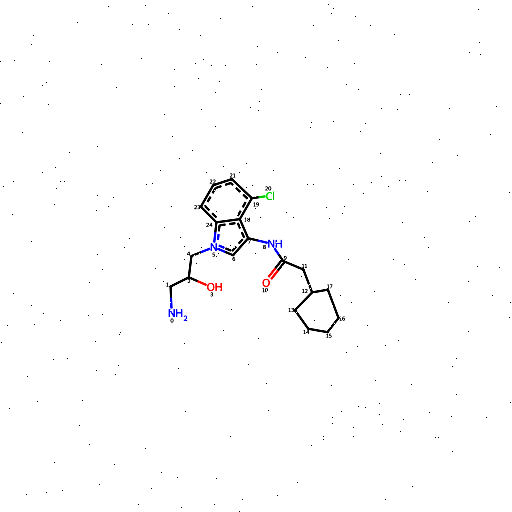 NCC(O)Cn1cc(NC(=O)CC2CCCCC2)c2c(Cl)cccc21